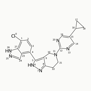 Clc1ccc(-c2[nH]nc3c2CN(c2ncc(C4CC4)cn2)CC3)c2cn[nH]c12